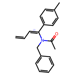 C=C/C=C(/c1ccc(C)cc1)N(Cc1ccccc1)C(C)=O